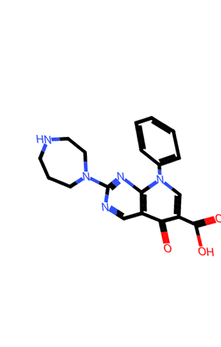 O=C(O)c1cn(-c2ccccc2)c2nc(N3CCCNCC3)ncc2c1=O